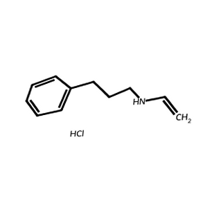 C=CNCCCc1ccccc1.Cl